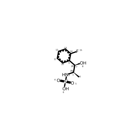 C[C@@H](NS(=O)(=O)O)[C@H](O)c1ccccc1F